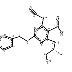 C[C@H](CO)Nc1nc(SCc2ccccc2)nc(SC#N)c1[N+](=O)[O-]